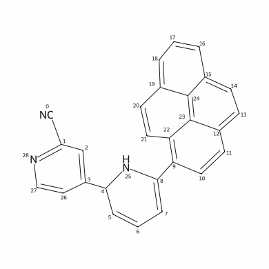 N#Cc1cc(C2C=CC=C(c3ccc4ccc5cccc6ccc3c4c56)N2)ccn1